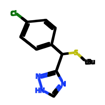 CC(C)(C)SC(c1ccc(Cl)cc1)c1nc[nH]n1